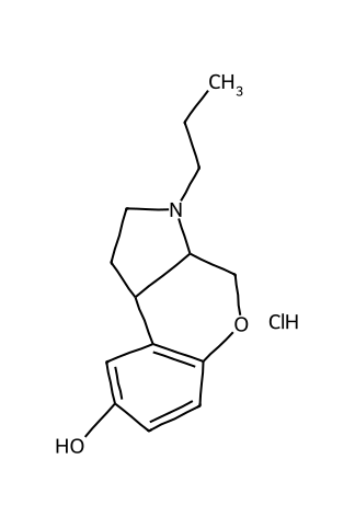 CCCN1CCC2c3cc(O)ccc3OCC21.Cl